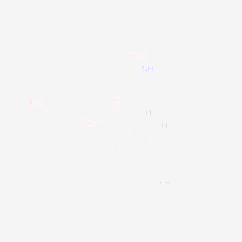 CC(Cc1ccccc1)C(C)(C)C(C)(C)C(=O)OCCO.N.O